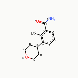 CCc1c(C(N)=O)cccc1C1CCOCC1